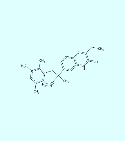 CCc1cc2ccc(C(C)(C#N)Cc3c(C)c(C)cc(C)c3C)cc2[nH]c1=O